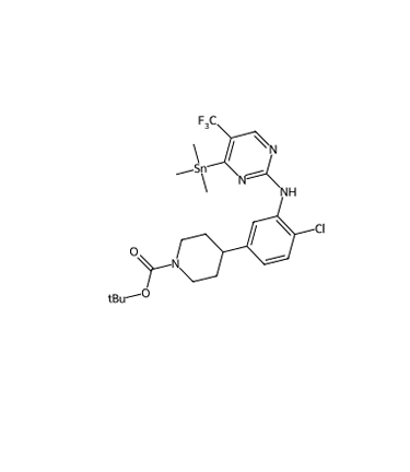 CC(C)(C)OC(=O)N1CCC(c2ccc(Cl)c(Nc3ncc(C(F)(F)F)[c]([Sn]([CH3])([CH3])[CH3])n3)c2)CC1